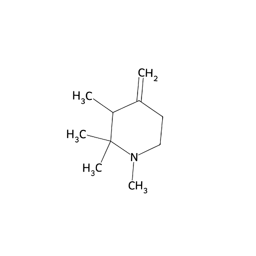 C=C1CCN(C)C(C)(C)C1C